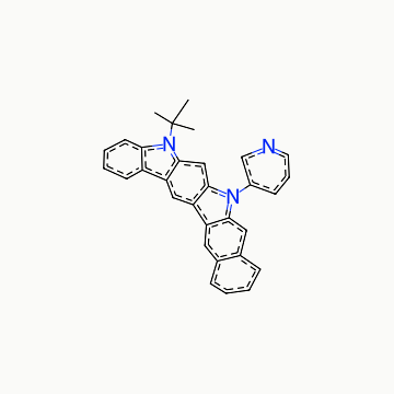 CC(C)(C)n1c2ccccc2c2cc3c4cc5ccccc5cc4n(-c4cccnc4)c3cc21